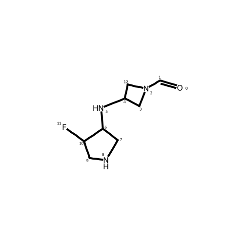 O=CN1CC(NC2CNCC2F)C1